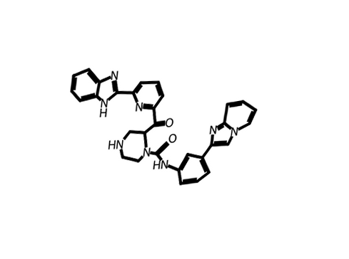 O=C(c1cccc(-c2nc3ccccc3[nH]2)n1)C1CNCCN1C(=O)Nc1cccc(-c2cn3ccccc3n2)c1